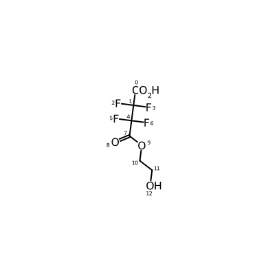 O=C(O)C(F)(F)C(F)(F)C(=O)OCCO